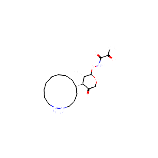 CC(=O)C(=O)NOC1OCC(=O)C([C@@H]2CCCCCCCCNNCCC2)[C@@H]1C